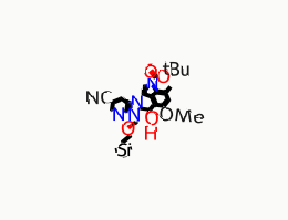 COc1cc(C)c2c(ccn2C(=O)OC(C)(C)C)c1C(O)c1nc2cc(C#N)cnc2n1COCC[Si](C)(C)C